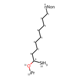 CCCCCCCCCCCCCCCCCC([SiH3])OC(C)C